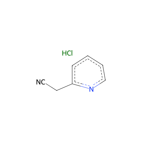 Cl.N#CCc1ccccn1